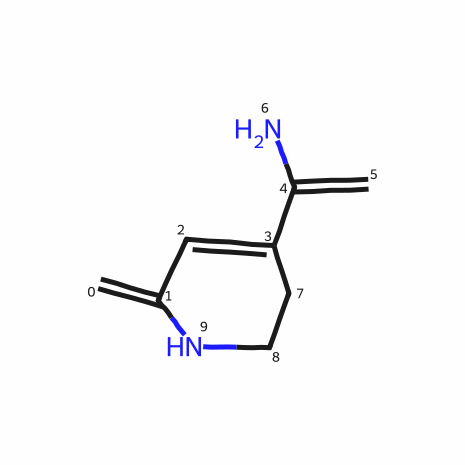 C=C1C=C(C(=C)N)CCN1